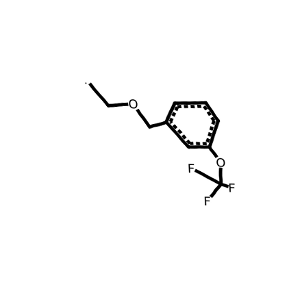 [CH2]COCc1cccc(OC(F)(F)F)c1